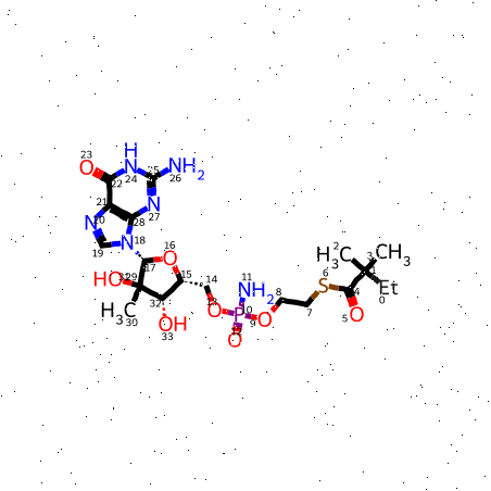 CCC(C)(C)C(=O)SCCOP(N)(=O)OC[C@H]1O[C@@H](n2cnc3c(=O)[nH]c(N)nc32)C(C)(O)[C@H]1O